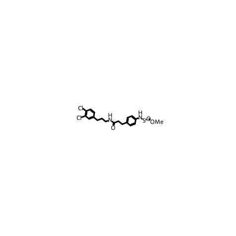 COOSNc1ccc(CCC(=O)NCCCc2ccc(Cl)c(Cl)c2)cc1